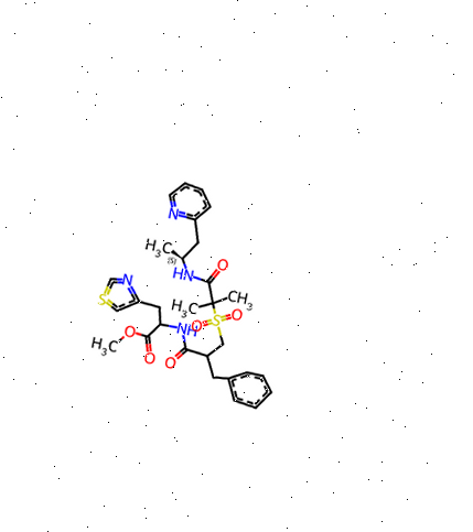 COC(=O)C(Cc1cscn1)NC(=O)C(Cc1ccccc1)CS(=O)(=O)C(C)(C)C(=O)N[C@@H](C)Cc1ccccn1